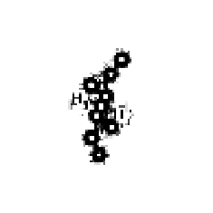 CC1(C)c2c(ccc3c2c2c(n3-c3ccc(-c4ccccc4)cc3)CCC=C2)C(C)(C)C2c3c(n(-c4cccc(-c5ccccc5)c4)c4ccccc34)C=CC21